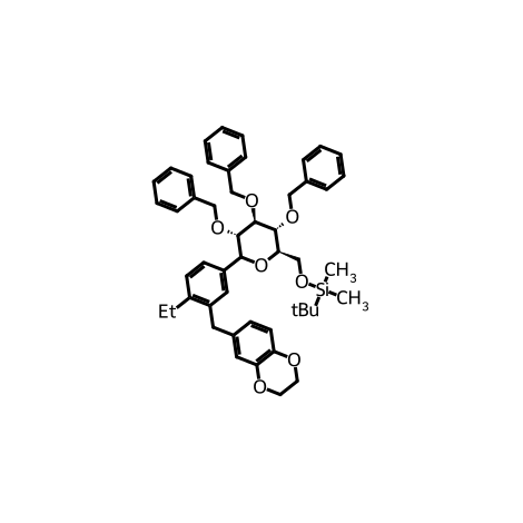 CCc1ccc(C2O[C@H](CO[Si](C)(C)C(C)(C)C)[C@@H](OCc3ccccc3)[C@H](OCc3ccccc3)[C@H]2OCc2ccccc2)cc1Cc1ccc2c(c1)OCCO2